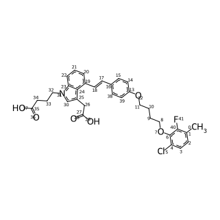 Cc1ccc(Cl)c(OCCCCOc2ccc(C=Cc3cccc4c3c(CC(=O)O)cn4CCCC(=O)O)cc2)c1F